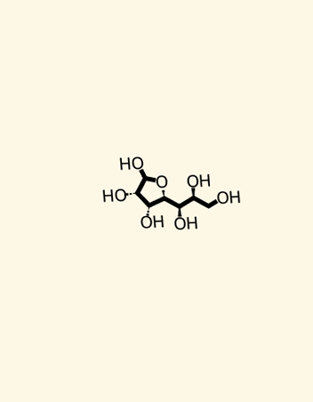 OC[C@H](O)[C@@H](O)[C@H]1OC(O)[C@@H](O)[C@H]1O